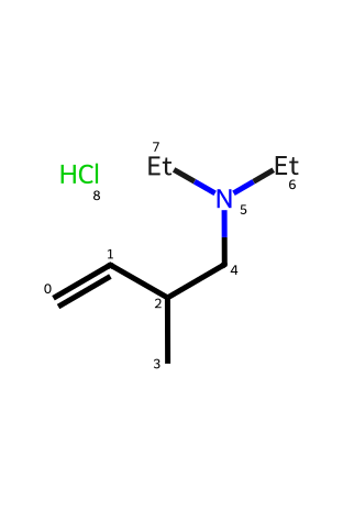 C=CC(C)CN(CC)CC.Cl